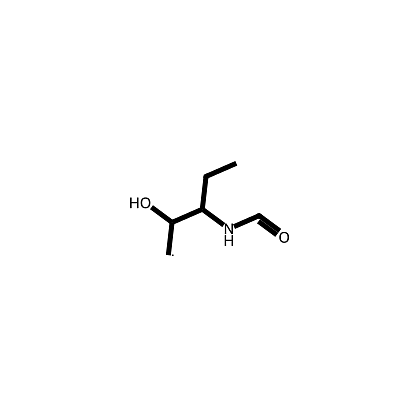 [CH2]C(O)C(CC)NC=O